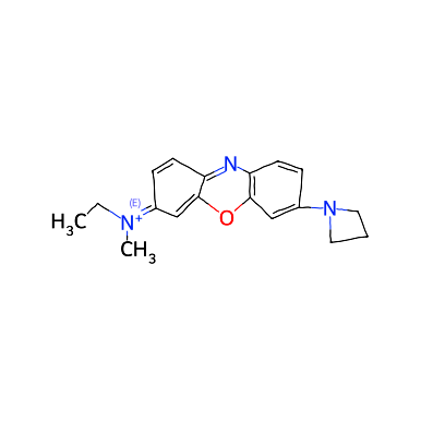 CC/[N+](C)=c1\ccc2nc3ccc(N4CCC4)cc3oc-2c1